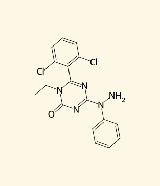 CCn1c(-c2c(Cl)cccc2Cl)nc(N(N)c2ccccc2)nc1=O